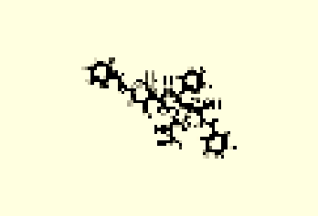 CC(C)NC(=O)OC(C(NC(=O)[C@@H](N)C(C)CC(=O)OCc1ccccc1)c1ccccc1)C(F)(F)C(O)CCc1ccccc1